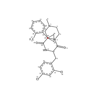 CN1CCN(C(=O)C(Cc2ccc(Cl)cc2Cl)NC(=O)C2(c3ccccc3C(F)(F)F)CC2)CC1